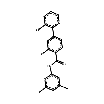 Cc1cc(C)nc(NC(=O)c2ccc(-c3ncccc3Cl)cc2F)c1